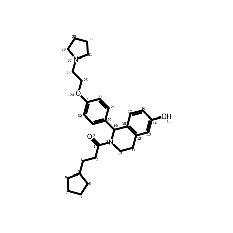 O=C(CCC1CCCC1)N1CCc2cc(O)ccc2C1c1ccc(OCCN2CCCC2)cc1